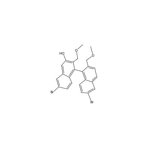 COCc1ccc2cc(Br)ccc2c1-c1c(COC)c(O)cc2cc(Br)ccc12